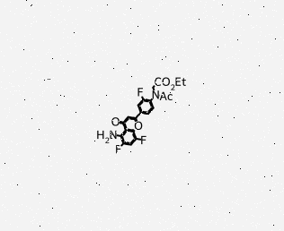 CCOC(=O)CN(C(C)=O)c1ccc(-c2cc(=O)c3c(N)c(F)cc(F)c3o2)cc1F